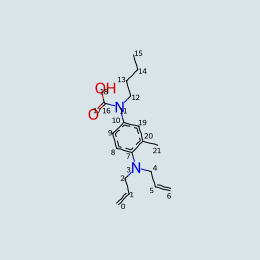 C=CCN(CC=C)c1ccc(N(CCCC)C(=O)O)cc1C